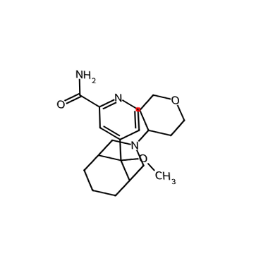 COC1(c2ccnc(C(N)=O)c2)C2CCCC1CN(C1CCOCC1)C2